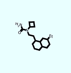 CCC1CCC2CCCC(CCN(C(N)=O)C3CCC3)C2C1